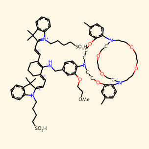 COCCOc1cc(CNC2=C(/C=C/C3=[N+](CCCCS(=O)(=O)O)c4ccccc4C3(C)C)CCC/C2=C\C=C2\N(CCCCS(=O)(=O)O)c3ccccc3C2(C)C)ccc1N1CCOc2cc(C)ccc2N2CCOCCOCCN(CCOCCOCC2)c2ccc(C)cc2OCC1